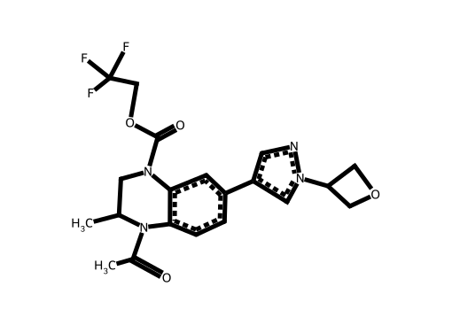 CC(=O)N1c2ccc(-c3cnn(C4COC4)c3)cc2N(C(=O)OCC(F)(F)F)CC1C